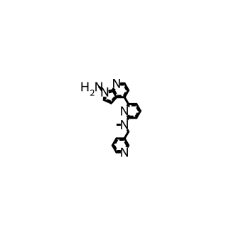 CN(Cc1cccnc1)c1cccc(-c2ccnc3c2ccn3N)n1